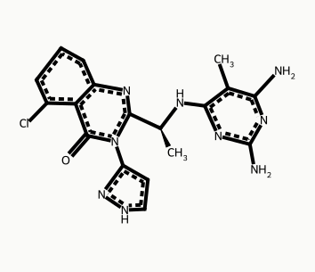 Cc1c(N)nc(N)nc1N[C@@H](C)c1nc2cccc(Cl)c2c(=O)n1-c1cc[nH]n1